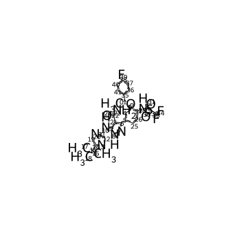 CC(Oc1cc(-c2n[nH]c(Nc3cnc(C(C)(C)C)cn3)c2C(N)=O)ccc1NS(=O)(=O)C(F)F)c1ccc(F)cc1